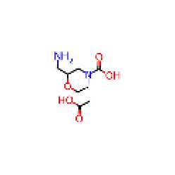 CC(=O)O.NCC1CN(C(=O)O)CCO1